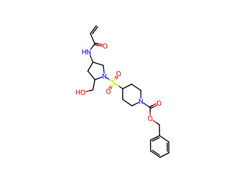 C=CC(=O)NC1CC(CO)N(S(=O)(=O)C2CCN(C(=O)OCc3ccccc3)CC2)C1